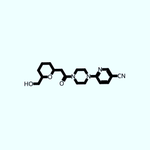 N#Cc1ccc(N2CCN(C(=O)CC3CCCC(CO)O3)CC2)nc1